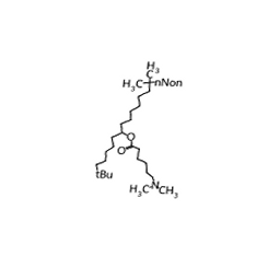 CCCCCCCCCC(C)(C)CCCCCCC(CCCCCC(C)(C)C)OC(=O)CCCCCN(C)C